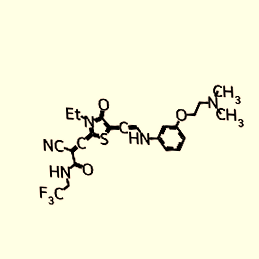 CCn1c(=C=C(C#N)C(=O)NCC(F)(F)F)sc(=C=CNc2cccc(OCCN(C)C)c2)c1=O